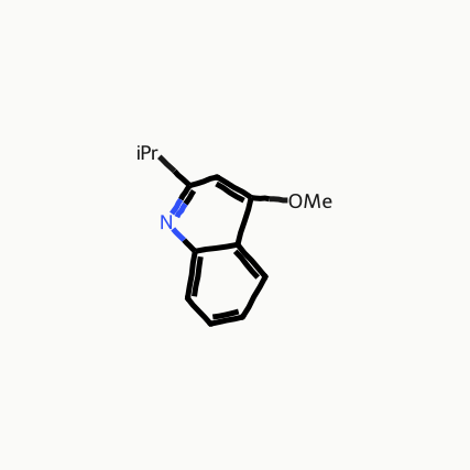 [CH2]Oc1cc(C(C)C)nc2ccccc12